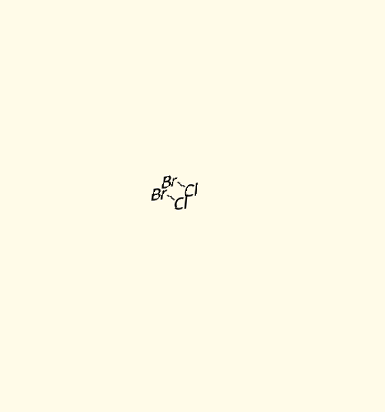 ClBr.ClBr